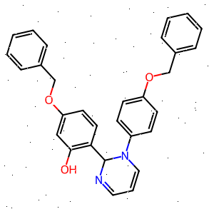 Oc1cc(OCc2ccccc2)ccc1C1N=CC=CN1c1ccc(OCc2ccccc2)cc1